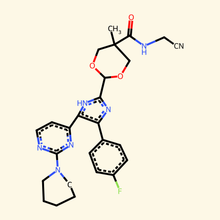 CC1(C(=O)NCC#N)COC(c2nc(-c3ccc(F)cc3)c(-c3ccnc(N4CCCCC4)n3)[nH]2)OC1